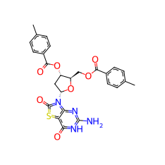 Cc1ccc(C(=O)OC[C@H]2O[C@H](n3c(=O)sc4c(=O)[nH]c(N)nc43)C[C@@H]2OC(=O)c2ccc(C)cc2)cc1